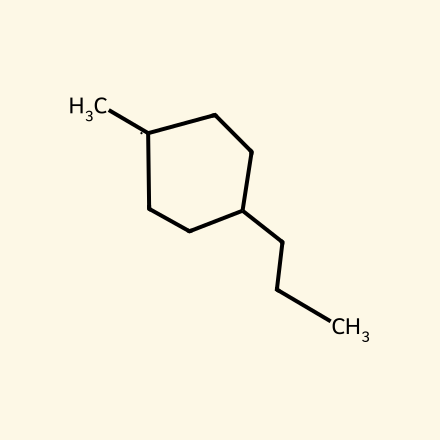 CCCC1CC[C](C)CC1